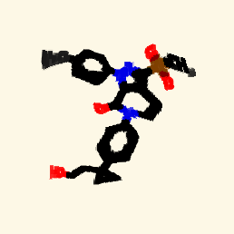 COc1ccc(-n2nc(S(C)(=O)=O)c3c2C(=O)N(c2ccc(C4(CCO)CC4)cc2)CC3)cc1